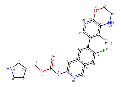 Cc1c(-c2cc3cc(NC(=O)OC[C@@H]4CCNC4)ncc3cc2F)cnc2c1NCCO2